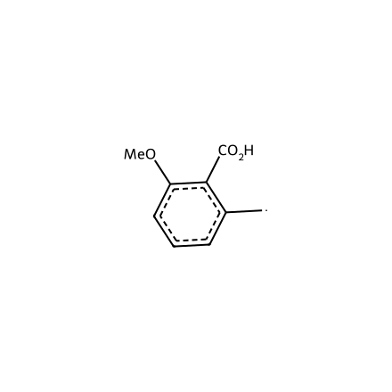 [CH2]c1cccc(OC)c1C(=O)O